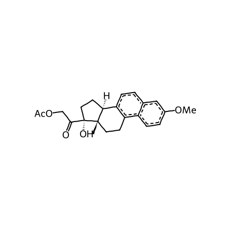 COc1ccc2c3c(ccc2c1)[C@@H]1CC[C@](O)(C(=O)COC(C)=O)[C@@]1(C)CC3